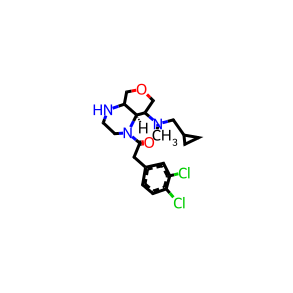 CN(CC1CC1)C1COCC2NCCN(C(=O)Cc3ccc(Cl)c(Cl)c3)[C@@H]21